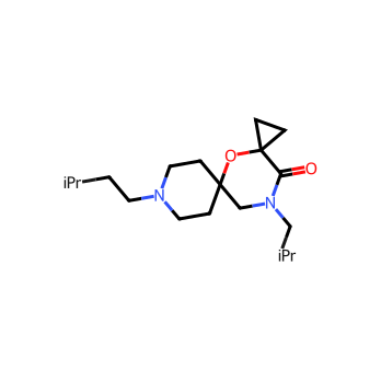 CC(C)CCN1CCC2(CC1)CN(CC(C)C)C(=O)C1(CC1)O2